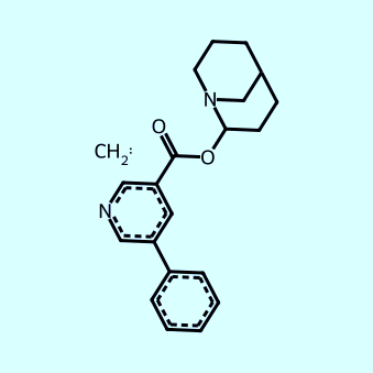 O=C(OC1CCC2CCCN1C2)c1cncc(-c2ccccc2)c1.[CH2]